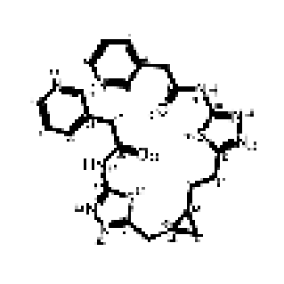 O=C(Cc1cccnc1)Nc1nnc(CCC2C[C@H]2Cc2nnc(NC(=O)Cc3cccnc3)s2)s1